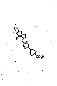 Nc1cc(F)c2c(ccn2Cc2cnc(C3=CCN(C(=O)O)CC3)cn2)c1